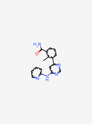 Cc1c(C(N)=O)cccc1-c1cc(Nc2ccccn2)ncn1